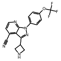 N#Cc1ccnc2c1c(C1CNC1)nn2-c1ccc(OC(F)(F)F)cc1